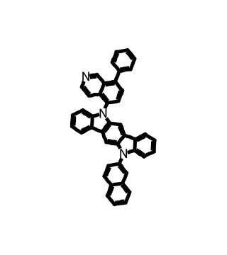 c1ccc(-c2ccc(-n3c4ccccc4c4cc5c(cc43)c3ccccc3n5-c3ccc4ccccc4c3)c3ccncc23)cc1